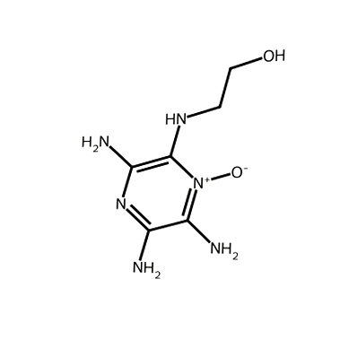 Nc1nc(N)c(NCCO)[n+]([O-])c1N